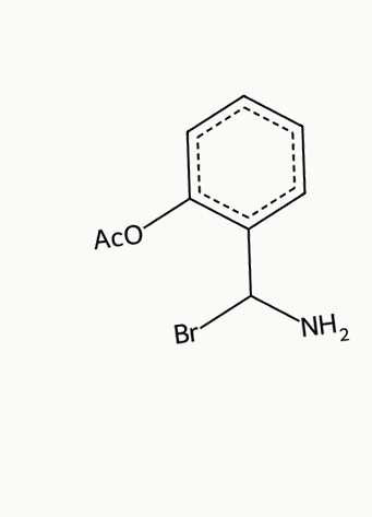 CC(=O)Oc1ccccc1C(N)Br